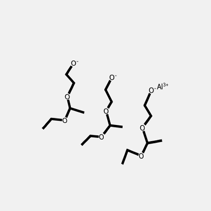 CCOC(C)OCC[O-].CCOC(C)OCC[O-].CCOC(C)OCC[O-].[Al+3]